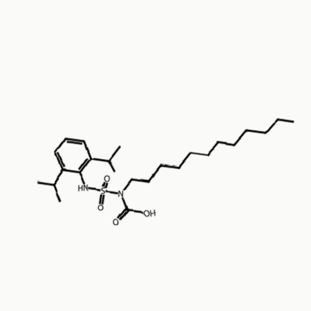 CCCCCCCCCCCCN(C(=O)O)S(=O)(=O)Nc1c(C(C)C)cccc1C(C)C